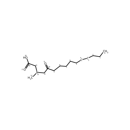 CCCCCCCCCCC(=O)CN(C)CC(=O)O